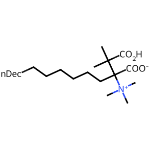 CCCCCCCCCCCCCCCCC(C(=O)[O-])(C(C)(C)C(=O)O)[N+](C)(C)C